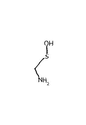 NCSO